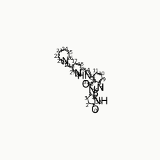 O=C1CCC2n3c(nc4cccc(NCc5ccc(CN6CCCCCC6)cn5)c4c3=O)P2N1